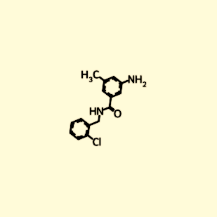 Cc1cc(N)cc(C(=O)NCc2ccccc2Cl)c1